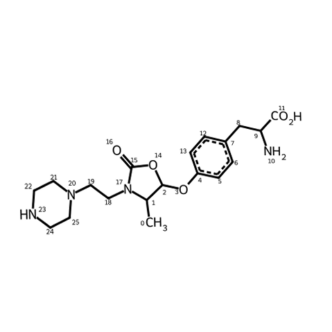 CC1C(Oc2ccc(CC(N)C(=O)O)cc2)OC(=O)N1CCN1CCNCC1